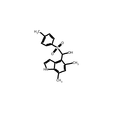 Cc1ccc(S(=O)(=O)C(O)c2c(C)cc(C)c3[nH]ccc23)cc1